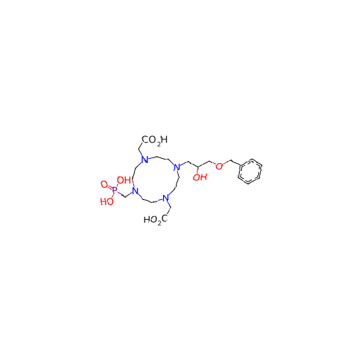 O=C(O)CN1CCN(CC(O)COCc2ccccc2)CCN(CC(=O)O)CCN(CP(=O)(O)O)CC1